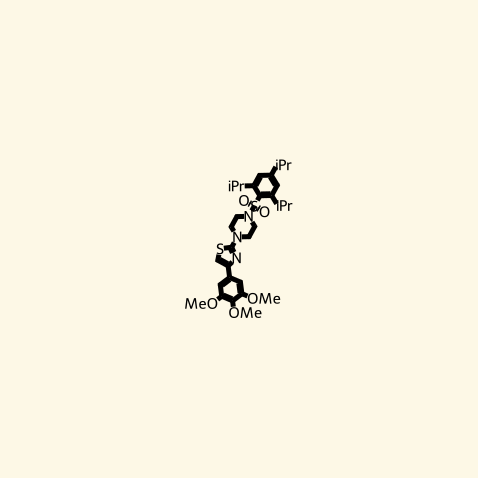 COc1cc(-c2csc(N3CCN(S(=O)(=O)c4c(C(C)C)cc(C(C)C)cc4C(C)C)CC3)n2)cc(OC)c1OC